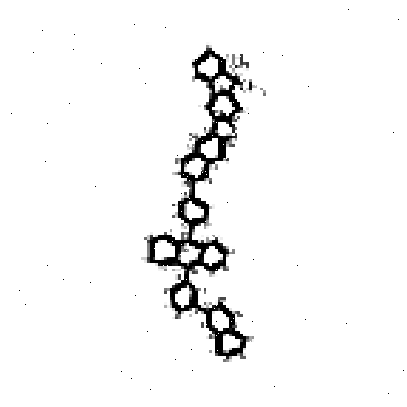 CC1(C)c2ccccc2-c2cc3c(cc21)sc1cc2cc(-c4ccc(-c5c6ccccc6c(-c6cccc(-c7ccc8ccccc8c7)c6)c6ccccc56)cc4)ccc2cc13